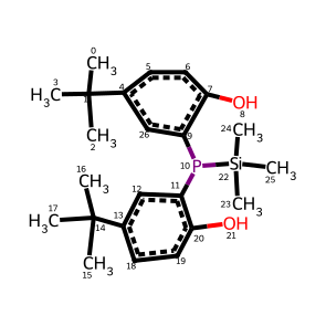 CC(C)(C)c1ccc(O)c(P(c2cc(C(C)(C)C)ccc2O)[Si](C)(C)C)c1